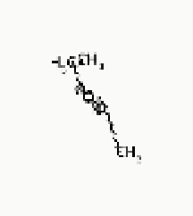 CCCCCCCCCc1cnc(-c2ccc(OCCCCC(C)CC)cc2)nc1